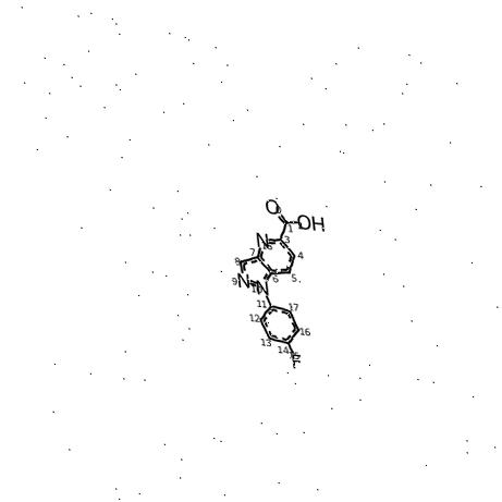 O=C(O)c1ccc2c(cnn2-c2ccc(F)cc2)n1